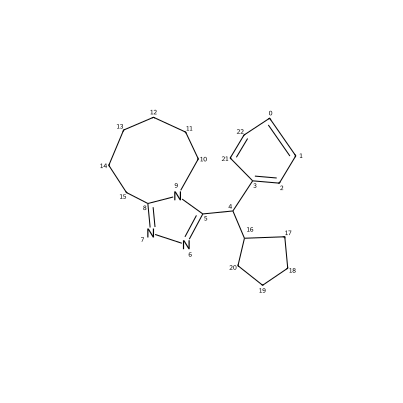 c1ccc(C(c2nnc3n2CCCCCC3)C2CCCC2)cc1